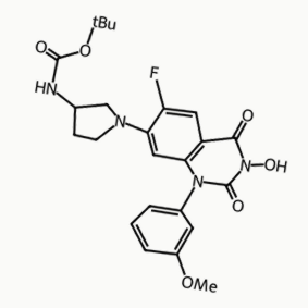 COc1cccc(-n2c(=O)n(O)c(=O)c3cc(F)c(N4CCC(NC(=O)OC(C)(C)C)C4)cc32)c1